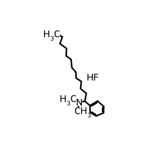 CCCCCCCCCCCCC(c1ccccc1)N(C)C.F